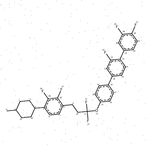 CC1CCC(c2ccc(CCC(F)(F)Oc3ccc(-c4ccc(-c5ccc(F)c(F)c5)c(F)c4)cc3)c(F)c2F)CC1